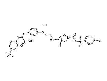 CC(C)(C)c1ccc(O[C@@H](Cc2ccc(OCCN[C@H]3C4CN(C(=O)NS(=O)(=O)c5ccc(Cl)cc5)C[C@@H]43)cc2)C(=O)O)cc1.Cl